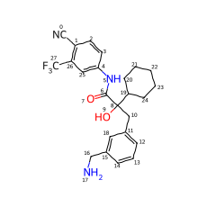 N#Cc1ccc(NC(=O)C(O)(Cc2cccc(CN)c2)C2CCCCC2)cc1C(F)(F)F